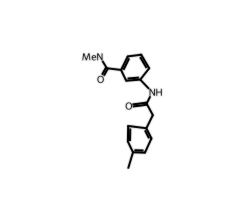 CNC(=O)c1cccc(NC(=O)Cc2ccc(C)cc2)c1